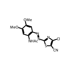 COc1cc(N=Nc2nc(Cl)c(C#N)s2)c(NC(C)=O)cc1OC